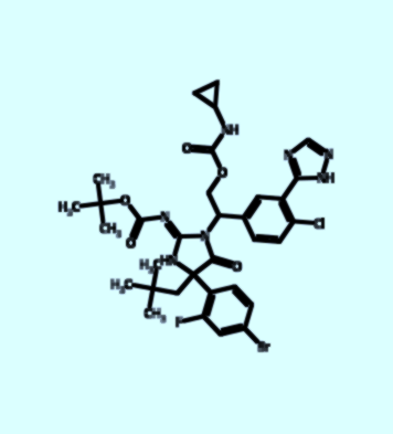 CC(C)(C)CC1(c2ccc(Br)cc2F)NC(=NC(=O)OC(C)(C)C)N(C(COC(=O)NC2CC2)c2ccc(Cl)c(-c3ncn[nH]3)c2)C1=O